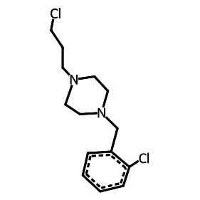 ClCCCN1CCN(Cc2ccccc2Cl)CC1